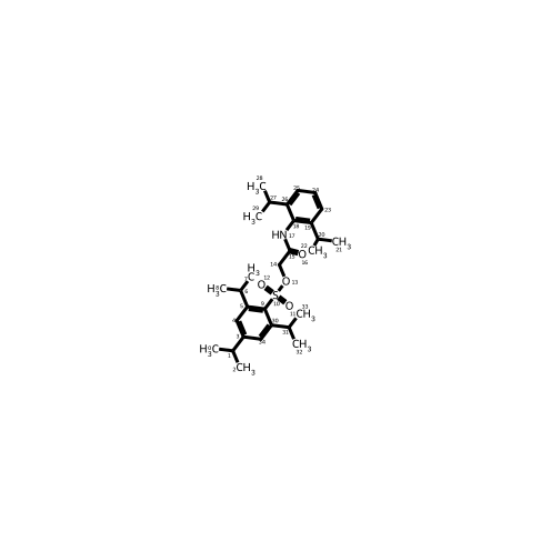 CC(C)c1cc(C(C)C)c(S(=O)(=O)OCC(=O)Nc2c(C(C)C)cccc2C(C)C)c(C(C)C)c1